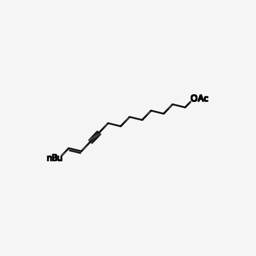 CCCCC=CC#CCCCCCCCCOC(C)=O